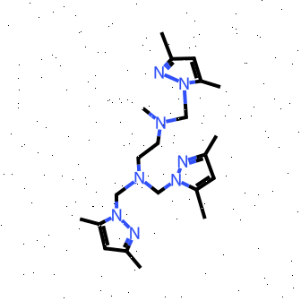 Cc1cc(C)n(CN(C)CCN(Cn2nc(C)cc2C)Cn2nc(C)cc2C)n1